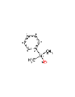 C[Si](C)([O])c1ccccc1